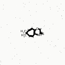 CC1(C)C=CC2=C(C=C1)OCC(=S)N2